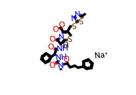 Cc1nnc(SCC2=C(C(=O)[O-])N3C(=O)C(NC(=O)C(NC(=O)N(C)C(=O)CCCc4ccccc4)c4ccccc4)[C@@H]3SC2)s1.[Na+]